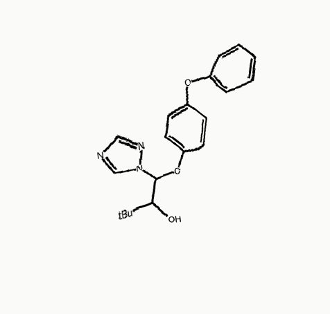 CC(C)(C)C(O)C(Oc1ccc(Oc2ccccc2)cc1)n1cncn1